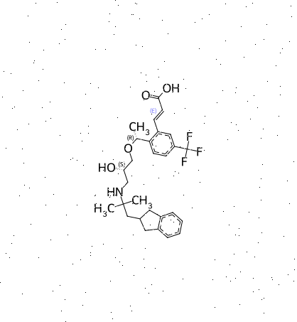 C[C@@H](OC[C@@H](O)CNC(C)(C)CC1Cc2ccccc2C1)c1ccc(C(F)(F)F)cc1/C=C/C(=O)O